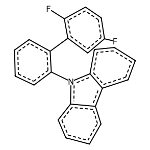 Fc1ccc(F)c(-c2ccccc2-n2c3ccccc3c3ccccc32)c1